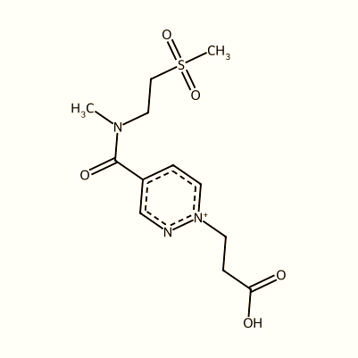 CN(CCS(C)(=O)=O)C(=O)c1cc[n+](CCC(=O)O)nc1